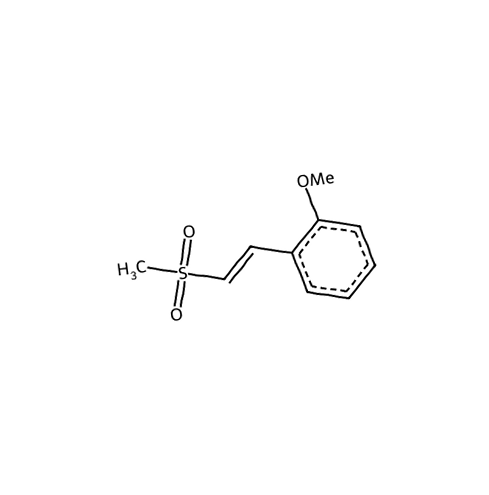 COc1ccccc1/C=C/S(C)(=O)=O